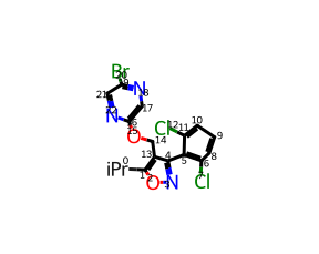 CC(C)c1onc(-c2c(Cl)cccc2Cl)c1COc1cnc(Br)cn1